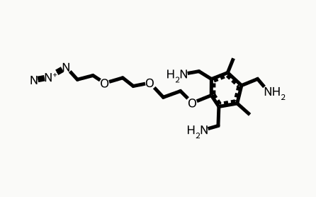 Cc1c(CN)c(C)c(CN)c(OCCOCCOCCN=[N+]=[N-])c1CN